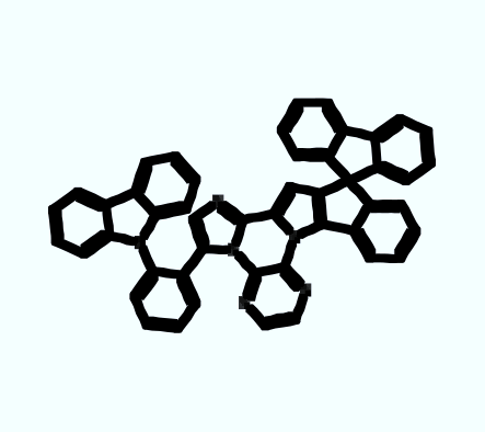 c1ccc(-n2c3ccccc3c3ccccc32)c(-c2cnc3c4cc5c(n4c4nccnc4n23)-c2ccccc2C52c3ccccc3-c3ccccc32)c1